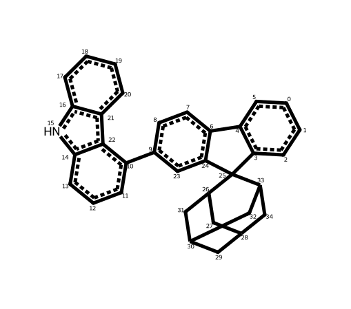 c1ccc2c(c1)-c1ccc(-c3cccc4[nH]c5ccccc5c34)cc1C21C2CC3CC(C2)CC1C3